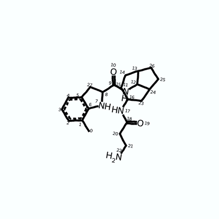 Cc1cccc2c1NC(C(=O)NC1C3CCC(NC(=O)CCN)CC1CC3)C2